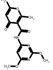 COc1cc(NC(=O)c2c(C)oc(C)cc2=O)nc(OC)n1